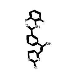 O=C(Nc1c(F)cccc1F)c1cccc(/C(O)=C\c2ccnc(Cl)n2)c1